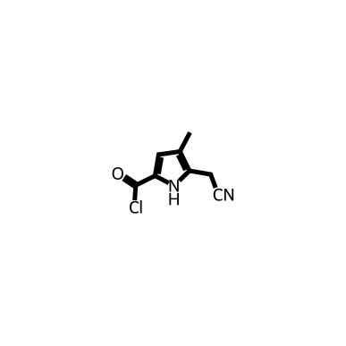 Cc1cc(C(=O)Cl)[nH]c1CC#N